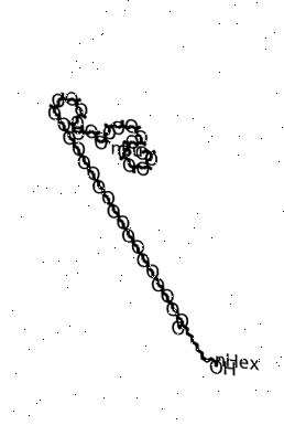 CCCCCC[C@@H](O)C/C=C\CCCCCCCC(=O)OCCOCCOCCOCCOCCOCCOCCOCCOCCOCCOCCOCCOCCOCCOCCOCCOCCOC(C)COC(C)COC(C)COC(C)COC(C)COC(C)COC(C)COC(C)COC(C)COC(C)COC(C)COC(C)COC(C)COC(C)COC(C)COC(C)COC(C)COCCCC